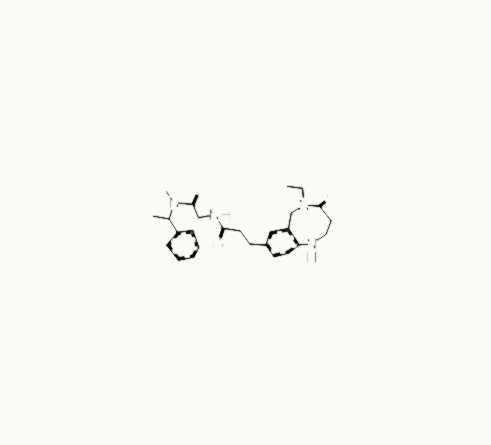 CCN1Cc2cc(CCC(=O)NCC(=O)N(C)C(C)c3ccccc3)ccc2NCCC1=O